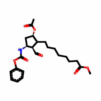 COC(=O)CCCCCCCC1[C@@H](OC(C)=O)C[C@@H](NC(=O)Oc2ccccc2)[C@@H]1C=O